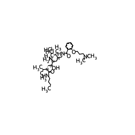 CCCCNC(=O)[C@@H](C[C@H](O)[C@@H](N)C[C@H](CNC(=O)c1ccccc1OCCCN(C)C)C(C)C)C(C)C.Cl.Cl